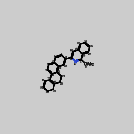 COc1nc(-c2ccc3ccc4c(c3c2)CCC2=C4C=CCC2)cc2ccccc12